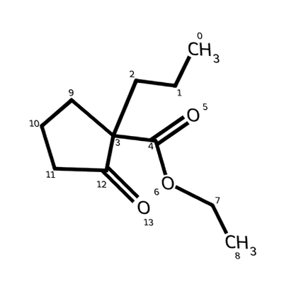 CCCC1(C(=O)OCC)CCCC1=O